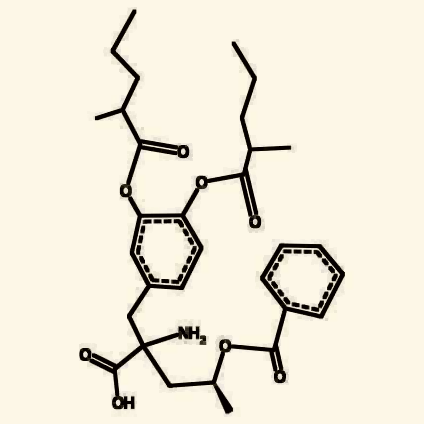 CCCC(C)C(=O)Oc1ccc(CC(N)(C[C@H](C)OC(=O)c2ccccc2)C(=O)O)cc1OC(=O)C(C)CCC